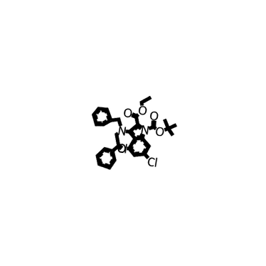 CCOC(=O)c1c(N(CC(=O)c2ccccc2)Cc2ccccc2)c2c(Cl)cc(Cl)cc2n1C(=O)OC(C)(C)C